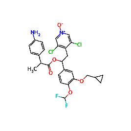 CC(C(=O)OC(Cc1c(Cl)c[n+]([O-])cc1Cl)c1ccc(OC(F)F)c(OCC2CC2)c1)c1ccc(N)cc1